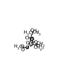 COC(=O)C12CCC(N3C=C4C(C)C(C)(C)OC[C@@]4(c4ccc(CCC(C)(C)C)c(Cl)c4)NC3=O)(C1)C2